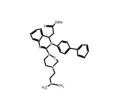 COC(=O)CC1c2ccccc2N=C(N2CCN(CCN(C)C)CC2)N1c1ccc(-c2ccccc2)cc1